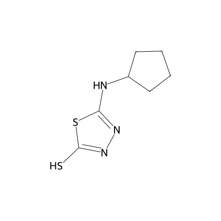 Sc1nnc(NC2CCCC2)s1